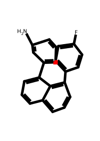 Nc1cccc(-c2cccc3cccc(-c4ccc(F)cc4)c23)c1